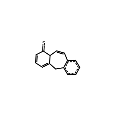 S=C1C=CC=C2Cc3ccccc3C=CC12